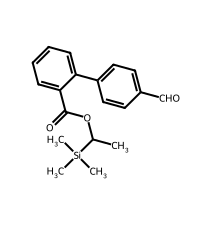 CC(OC(=O)c1ccccc1-c1ccc(C=O)cc1)[Si](C)(C)C